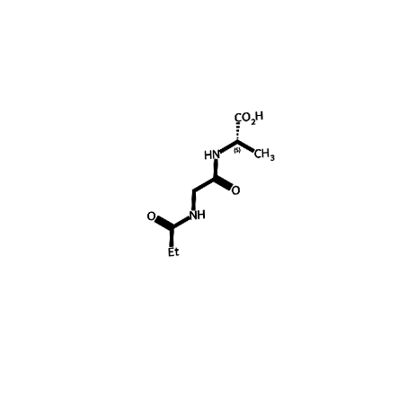 CCC(=O)NCC(=O)N[C@@H](C)C(=O)O